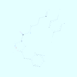 C=C(CCCNC(=O)c1cc(Cc2cccc(F)c2)on1)c1cc(Cl)ccc1C